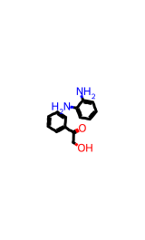 Nc1ccccc1N.O=C(CO)c1ccccc1